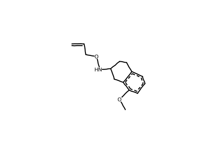 C=CCONC1CCc2cccc(OC)c2C1